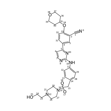 N#Cc1cc(-c2ccnc(Nc3ccc(CS(=O)(=O)N4CCN(CCO)CC4)cc3)n2)ccc1OC1CCOCC1